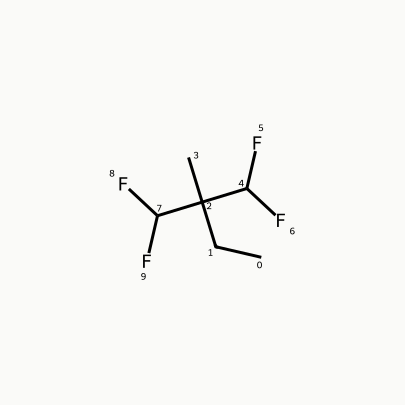 CCC(C)(C(F)F)C(F)F